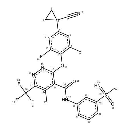 Cc1cc(C2(C#N)CC2)nc(F)c1Oc1nnc(C(F)(F)F)c(C)c1C(=O)Nc1cccc(S(C)(=N)=O)c1